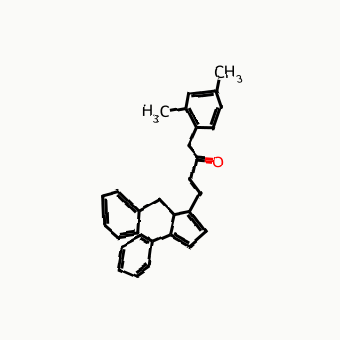 Cc1ccc(CC(=O)CCC2=CC=C(c3ccccc3)C2Cc2ccccc2)c(C)c1